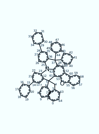 c1ccc(CC2(c3ccccc3)c3cc(-c4ccccc4)ccc3N3c4ccc(-c5ccccc5)cc4C(c4ccccc4)(c4ccccc4)c4cc5c(oc6ccccc65)c2c43)cc1